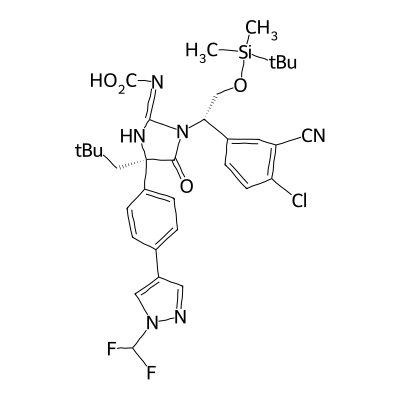 CC(C)(C)C[C@]1(c2ccc(-c3cnn(C(F)F)c3)cc2)N/C(=N\C(=O)O)N([C@H](CO[Si](C)(C)C(C)(C)C)c2ccc(Cl)c(C#N)c2)C1=O